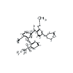 CCCc1cc(N2CCOCC2)ccc1Nc1ncc(C#N)c(Nc2ccccc2S(=O)(=O)NC)n1